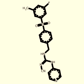 Cc1cc(F)cc(S(=O)(=O)c2ccc(CNC(=NC#N)Nc3ccncc3)cc2)c1